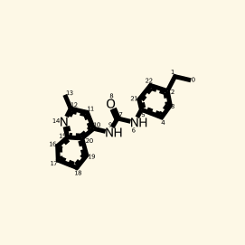 CCc1ccc(NC(=O)Nc2cc(C)nc3ccccc23)cc1